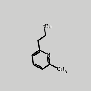 Cc1cccc(CCC(C)(C)C)n1